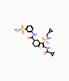 CS(=O)(=O)c1cccc(NC(=O)C2CCc3sc(NC(=O)C4CC4)c(S(=O)(=O)NCC4CC4)c3C2)c1